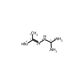 CCCC/C(C)=N/NC(N)N